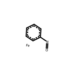 O=Nc1ccccc1.[Fe]